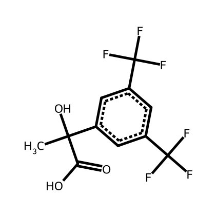 CC(O)(C(=O)O)c1cc(C(F)(F)F)cc(C(F)(F)F)c1